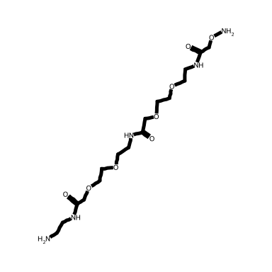 NCCNC(=O)COCCOCCNC(=O)COCCOCCNC(=O)CON